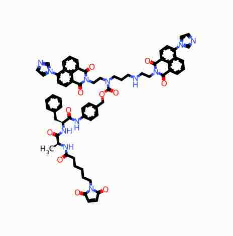 C[C@H](NC(=O)CCCCCN1C(=O)C=CC1=O)C(=O)N[C@@H](Cc1ccccc1)C(=O)Nc1ccc(COC(=O)N(CCCNCCN2C(=O)c3cccc4c(-n5ccnc5)ccc(c34)C2=O)CCN2C(=O)c3cccc4c(-n5ccnc5)ccc(c34)C2=O)cc1